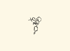 CC(C)(C)OC(=O)N1CCCCC1CNc1ccc(F)cc1